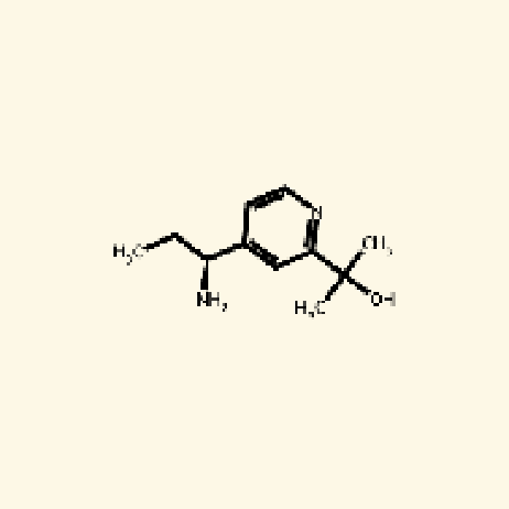 CC[C@H](N)c1ccnc(C(C)(C)O)c1